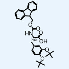 CC(C)(C)Oc1ccc(C[C@H](NC(=O)OCC2c3ccccc3-c3ccccc32)C(=O)O)cc1OC(C)(C)C